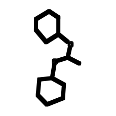 CC(OC1CCCCC1)OC1CCCCC1